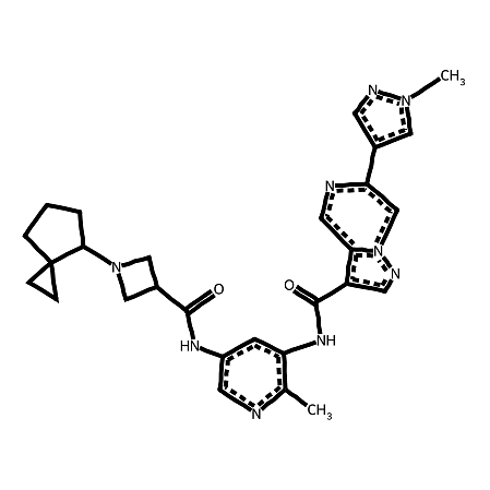 Cc1ncc(NC(=O)C2CN(C3CCCC34CC4)C2)cc1NC(=O)c1cnn2cc(-c3cnn(C)c3)ncc12